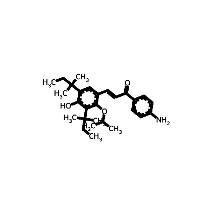 CCC(C)(C)c1cc(/C=C/C(=O)c2ccc(N)cc2)c(OC(C)C)c(C(C)(C)CC)c1O